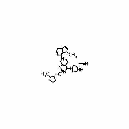 CN1CCC[C@H]1COc1nc2c(c(N3CCN[C@@H](CC#N)C3)n1)CCN(c1cccc3ccn(C)c13)C2